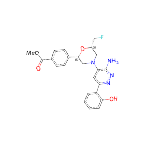 COC(=O)c1ccc([C@H]2CN(c3cc(-c4ccccc4O)nnc3N)C[C@@H](CF)O2)cc1